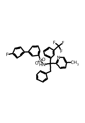 Cc1ccc(C(Cc2ccccc2)(NS(=O)(=O)c2cccc(-c3ccc(F)cc3)c2)c2cccc(C(F)(F)F)c2)nc1